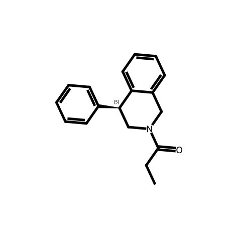 CCC(=O)N1Cc2ccccc2[C@H](c2ccccc2)C1